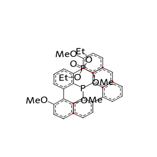 CCOP(=O)(OCC)c1ccccc1P(c1ccccc1-c1ccccc1)c1c(-c2c(OC)cccc2OC)cccc1-c1c(OC)cccc1OC